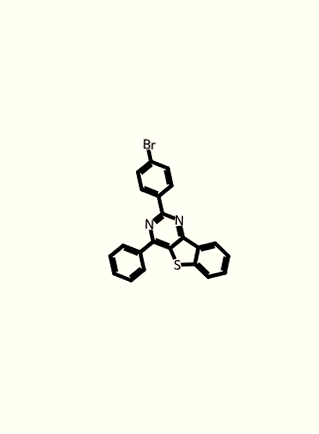 Brc1ccc(-c2nc(-c3ccccc3)c3sc4ccccc4c3n2)cc1